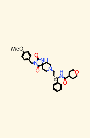 COc1ccc(CN2C(=O)NC3(CCN(CC[C@H](NC(=O)C4CCOCC4)c4ccccc4)CC3)C2=O)cc1